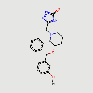 CC(C)Oc1cccc(CO[C@H]2CCCN(Cc3n[nH]c(=O)[nH]3)[C@H]2c2ccccc2)c1